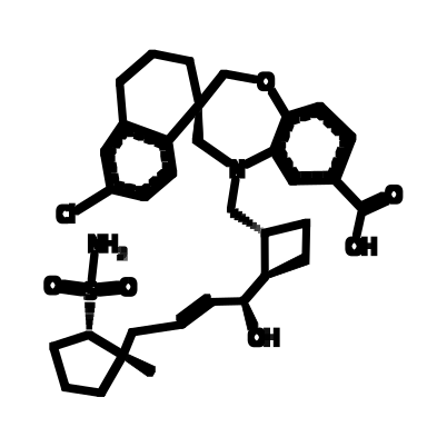 C[C@@]1(C/C=C/[C@H](O)[C@@H]2CC[C@H]2CN2C[C@@]3(CCCc4cc(Cl)ccc43)COc3ccc(C(=O)O)cc32)CCC[C@@H]1S(N)(=O)=O